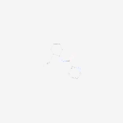 C#CC1CCCCC1NC(=O)c1ccccn1